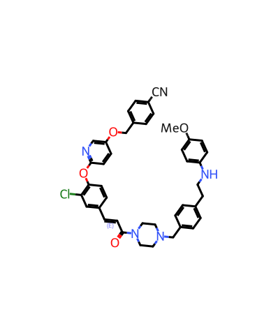 COc1ccc(NCCc2ccc(CN3CCN(C(=O)/C=C/c4ccc(Oc5ccc(OCc6ccc(C#N)cc6)cn5)c(Cl)c4)CC3)cc2)cc1